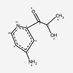 CC(O)C(=O)c1cc(N)ccn1